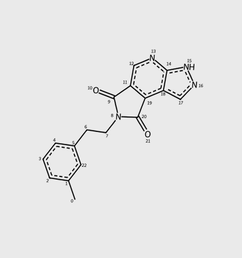 Cc1cccc(CCN2C(=O)c3cnc4[nH]ncc4c3C2=O)c1